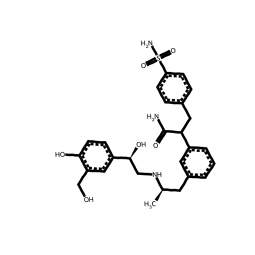 C[C@H](Cc1cccc(C(Cc2ccc(S(N)(=O)=O)cc2)C(N)=O)c1)NC[C@H](O)c1ccc(O)c(CO)c1